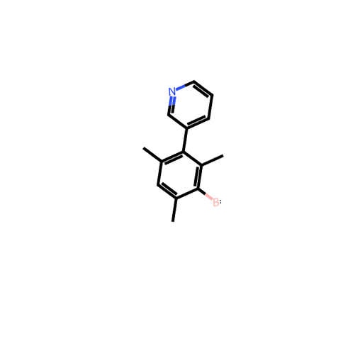 [B]c1c(C)cc(C)c(-c2cccnc2)c1C